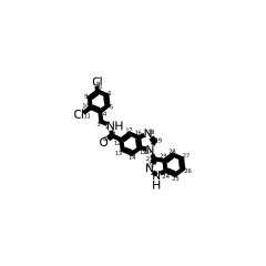 O=C(NCc1ccc(Cl)cc1Cl)c1ccc2c(c1)ncn2-c1n[nH]c2ccccc12